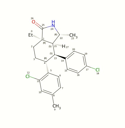 CC[C@@]12CC[C@@H](c3ccc(C)cc3Cl)[C@H](c3ccc(Cl)cc3)[C@@H]1[C@@H](C)NC2=O